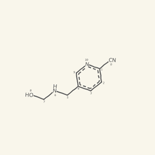 N#Cc1ccc(CNCO)cn1